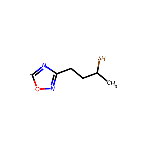 CC(S)CCc1n[c]on1